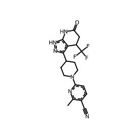 Cc1nc(N2CCC(c3n[nH]c4c3C(C(F)(F)F)CC(=O)N4)CC2)ccc1C#N